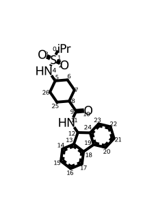 CC(C)S(=O)(=O)NC1CCC(C(=O)NC2c3ccccc3-c3ccccc32)CC1